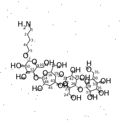 NCCCCCO[C@@H]1OC(CO)[C@@H](O[C@H]2OC(CO)[C@H](O[C@H]3OC(CO)[C@@H](O[C@@H]4OC(CO)[C@@H](O)C(O)C4O)C(O)C3O)C(O)CC2O)C(O)C1O